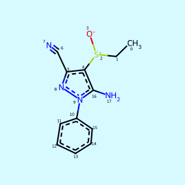 CC[S+]([O-])c1c(C#N)nn(-c2ccccc2)c1N